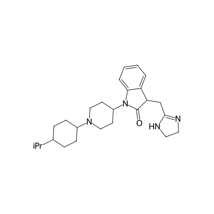 CC(C)C1CCC(N2CCC(N3C(=O)C(CC4=NCCN4)c4ccccc43)CC2)CC1